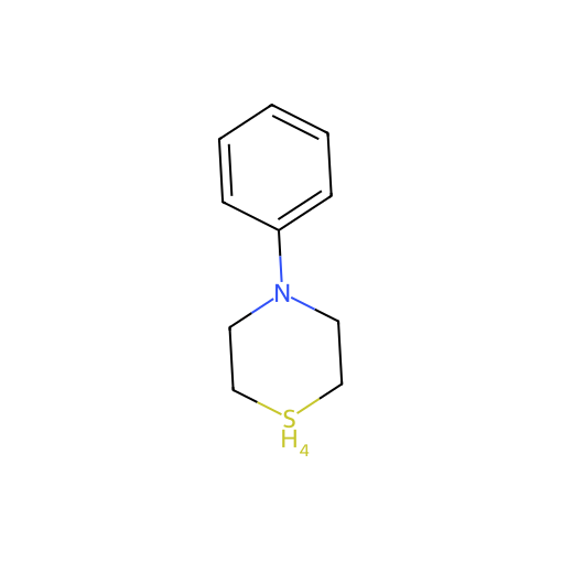 c1ccc(N2CC[SH4]CC2)cc1